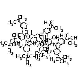 CN(C)c1cccc(C2=CC(C(C)(C)CC(C)(C)C)=CC(n3c4ccc(C(C)(C)C)cc4c4cc(C(C)(C)C)ccc43)C2(O)OCCCOc2ccc(N(C)C)cc2-c2cc(C(C)(C)CC(C)(C)C)cc(-n3c4ccc(C(C)(C)C)cc4c4cc(C(C)(C)C)ccc43)c2O)c1